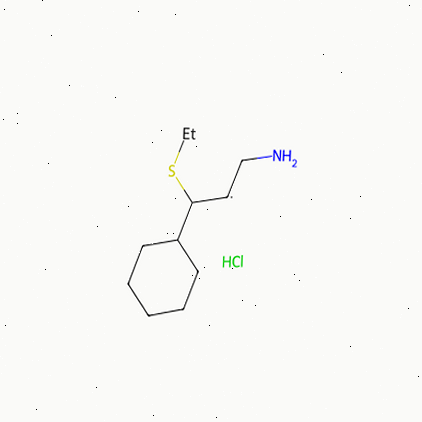 CCSC([CH]CN)C1CCCCC1.Cl